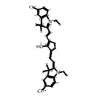 CCN1/C(=C/C=C2\CCC(/C=C/C3=[N+](CC)c4ccc(Cl)cc4C3(C)C)=C2O)C(C)(C)c2cc(Cl)ccc21